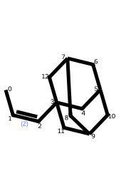 C/C=C\C12CC3CC(CC(C3)C1)C2